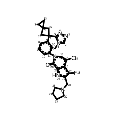 Cn1cnnc1C1(c2cccc(-n3cc(Cl)c4c(F)c(CN5CCCC5)[nH]c4c3=O)c2)CC2(CC2)C1